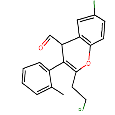 Cc1ccccc1C1=C(CCBr)Oc2ccc(Br)cc2C1C=O